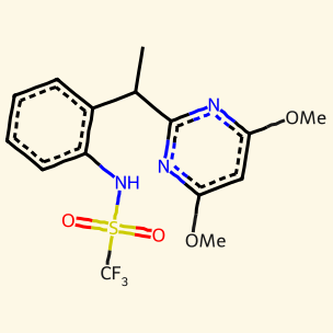 COc1cc(OC)nc(C(C)c2ccccc2NS(=O)(=O)C(F)(F)F)n1